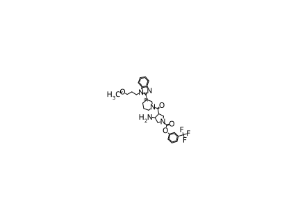 COCCCn1c([C@@H]2CCCN(C(=O)C3CN(C(=O)Oc4cccc(C(F)(F)F)c4)CC3N)C2)nc2ccccc21